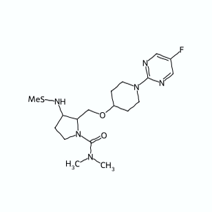 CSNC1CCN(C(=O)N(C)C)C1COC1CCN(c2ncc(F)cn2)CC1